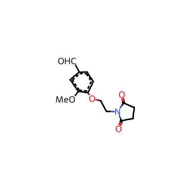 COc1cc(C=O)ccc1OCCN1C(=O)CCC1=O